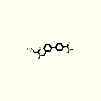 CN(C)C(=O)c1ccc(-c2cccc(CN(C)C(=O)CN)c2)cc1